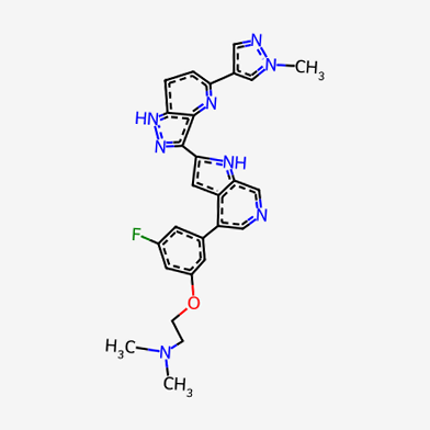 CN(C)CCOc1cc(F)cc(-c2cncc3[nH]c(-c4n[nH]c5ccc(-c6cnn(C)c6)nc45)cc23)c1